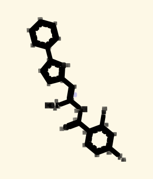 O=C(O)/C(=C\c1ccc(-c2ccccc2)o1)NC(=O)c1ccc(F)cc1F